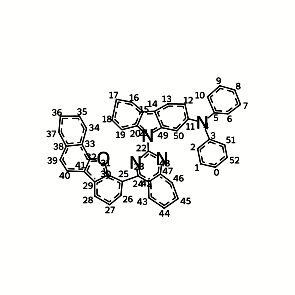 c1ccc(N(c2ccccc2)c2ccc3c4ccccc4n(-c4nc(-c5cccc6c5oc5c7ccccc7ccc65)c5ccccc5n4)c3c2)cc1